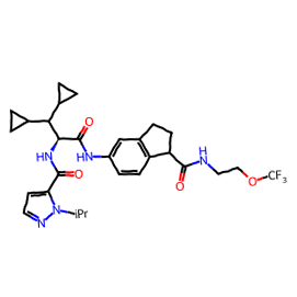 CC(C)n1nccc1C(=O)N[C@H](C(=O)Nc1ccc2c(c1)CCC2C(=O)NCCOC(F)(F)F)C(C1CC1)C1CC1